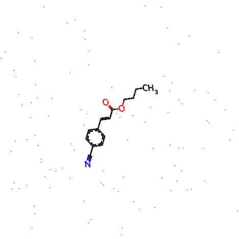 CCCCOC(=O)C=Cc1ccc(C#N)cc1